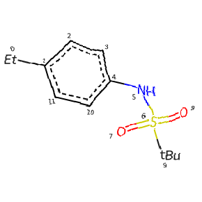 CCc1ccc(NS(=O)(=O)C(C)(C)C)cc1